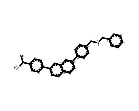 NC(N)c1ccc(-c2ccc3ccc(-c4ccc(CNCc5ccccc5)cc4)cc3c2)cc1